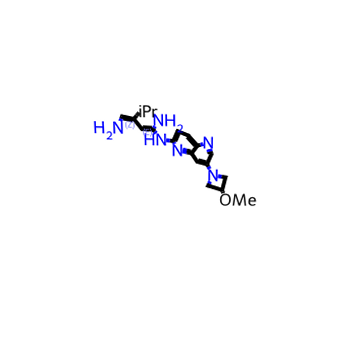 COC1CN(c2cnc3ccc(N/C(N)=C/C(=C\N)C(C)C)nc3c2)C1